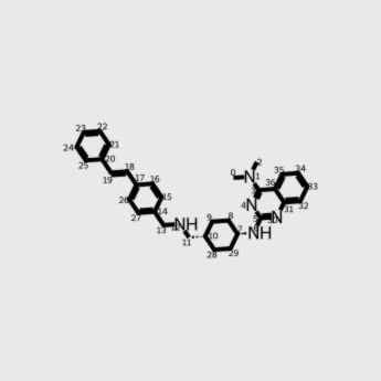 CN(C)c1nc(N[C@H]2CC[C@@H](CNCc3ccc(/C=C/c4ccccc4)cc3)CC2)nc2ccccc12